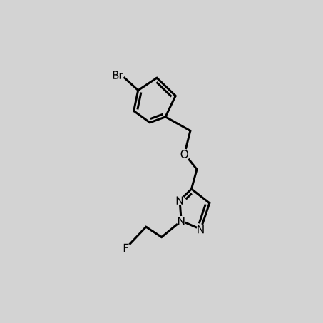 FCCn1ncc(COCc2ccc(Br)cc2)n1